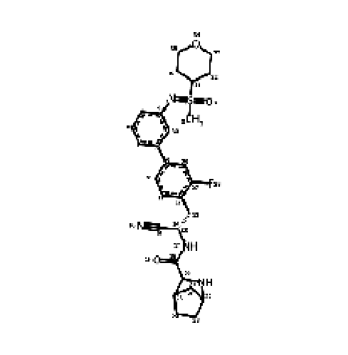 CS(=O)(=Nc1cccc(-c2ccc(C[C@@H](C#N)NC(=O)C3NC4CCC3C4)c(F)c2)c1)C1CCOCC1